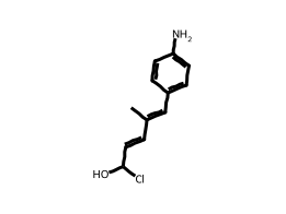 CC(/C=C/C(O)Cl)=C\c1ccc(N)cc1